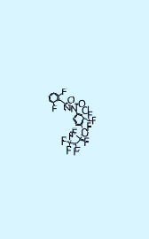 O=c1oc(-c2c(F)cccc2F)nn1-c1ccc(OC(F)(F)C(F)C(F)(F)F)c(C(F)(F)F)c1Cl